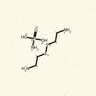 NCCSSCCN.NP(=O)(O)O